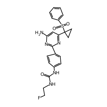 Nc1cc(C2(S(=O)(=O)c3ccccc3)CC2)nc(-c2ccc(NC(=O)NCCF)cc2)n1